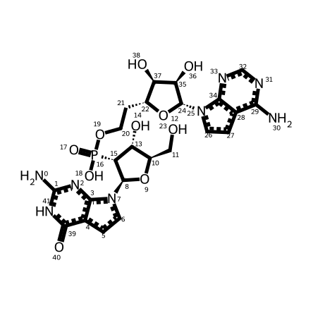 Nc1nc2c(ccn2[C@@H]2O[C@H](CO)[C@@H](O)[C@H]2P(=O)(O)OCC[C@H]2O[C@@H](n3ccc4c(N)ncnc43)[C@H](O)[C@@H]2O)c(=O)[nH]1